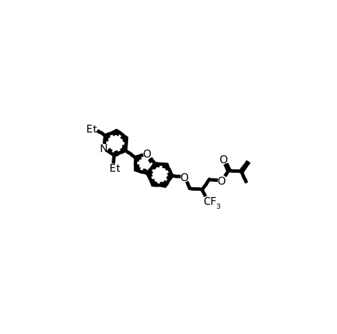 C=C(C)C(=O)OCC(COc1ccc2cc(-c3ccc(CC)nc3CC)oc2c1)C(F)(F)F